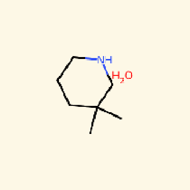 CC1(C)CCCNC1.O